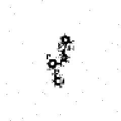 O=C(Nc1c(F)cccc1F)c1ccc(Cc2cc(Cl)ccc2OCc2cccnc2)o1